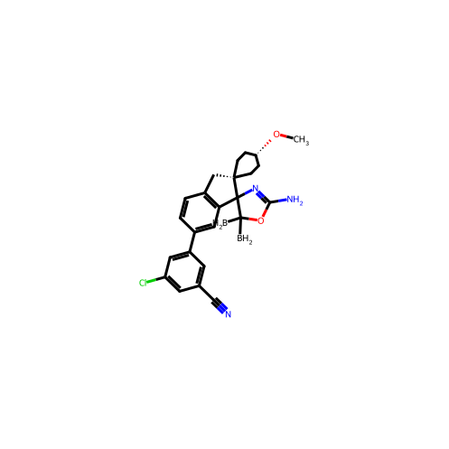 BC1(B)OC(N)=NC12c1cc(-c3cc(Cl)cc(C#N)c3)ccc1C[C@]21CC[C@@H](OC)CC1